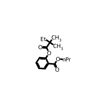 CCCOC(=O)c1ccccc1OC(=O)C(C)(C)CC